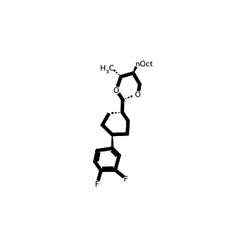 CCCCCCCC[C@H]1CO[C@H]([C@H]2CC[C@H](c3ccc(F)c(F)c3)CC2)O[C@@H]1C